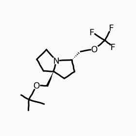 CC(C)(C)OC[C@@]12CCCN1[C@H](COC(F)(F)F)CC2